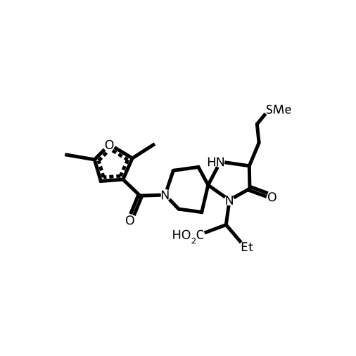 CCC(C(=O)O)N1C(=O)C(CCSC)NC12CCN(C(=O)c1cc(C)oc1C)CC2